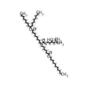 CCCCCCCCCCCOC(=O)CCCCCN(CCCCCCCC(=O)OC(CCCCCCCC)CCCCCCCC)C(=O)SCCC(O)CN(C)C